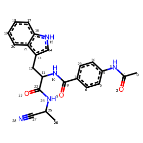 CC(=O)Nc1ccc(C(=O)NC(Cc2c[nH]c3ccccc23)C(=O)NC(C)C#N)cc1